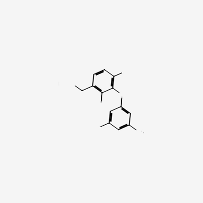 CCOC(=O)Cc1ccc(Cl)c(Oc2cc(Br)cc(C#N)c2)c1F